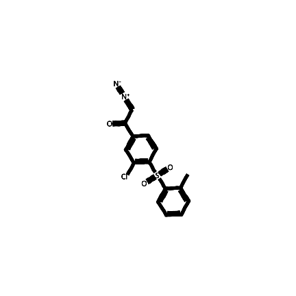 Cc1ccccc1S(=O)(=O)c1ccc(C(=O)C=[N+]=[N-])cc1Cl